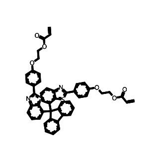 C=CC(=O)OCCOc1ccc(-c2nc3cccc(C4(c5cccc6nc(-c7ccc(OCCOC(=O)C=C)cc7)sc56)c5ccccc5-c5ccccc54)c3s2)cc1